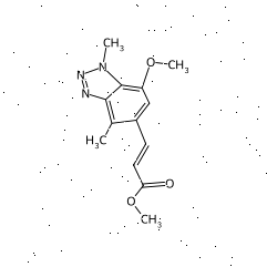 COC(=O)C=Cc1cc(OC)c2c(nnn2C)c1C